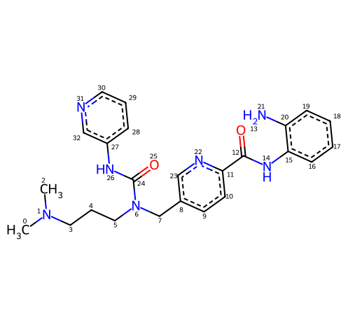 CN(C)CCCN(Cc1ccc(C(=O)Nc2ccccc2N)nc1)C(=O)Nc1cccnc1